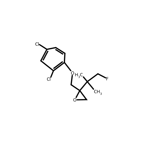 CC(C)(CF)C1(COc2ccc(Cl)cc2Cl)CO1